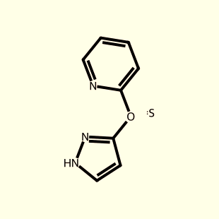 [S].c1ccc(Oc2cc[nH]n2)nc1